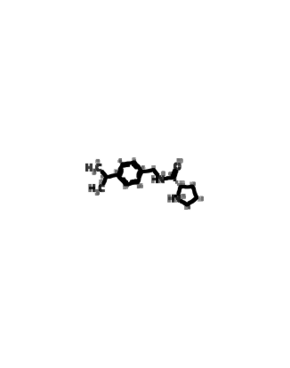 CC(C)c1ccc(CNC(=O)[C@@H]2CCCN2)cc1